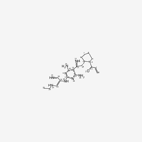 C=CC(=O)N1CCCCC1CC(=N)c1c(N)nc(N/C(C=N)=C/NCC)nc1N